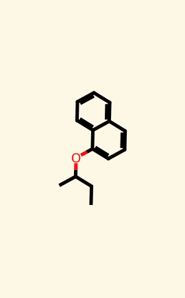 CCC(C)Oc1cccc2ccccc12